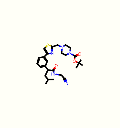 CC(C)CC(C(=O)NCC#N)c1cccc(-c2csc(CN3CCN(C(=O)OC(C)(C)C)CC3)n2)c1